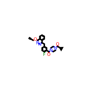 C#CCOc1nnc(Cc2ccc(F)c(C(=O)N3CCN(C(=O)C4CC4)CC3)c2)c2ccccc12